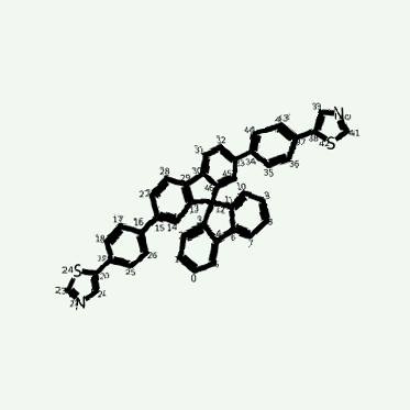 c1ccc2c(c1)-c1ccccc1C21c2cc(-c3ccc(-c4cncs4)cc3)ccc2-c2ccc(-c3ccc(-c4cncs4)cc3)cc21